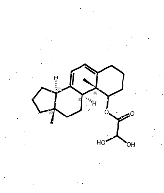 C[C@@]12CCC[C@H]1C1=CC=C3CCCC(OC(=O)C(O)O)[C@]3(C)[C@H]1CC2